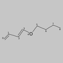 C=CC=COCCCC